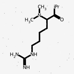 CC(C)C(=O)C(CCCCNC(=N)N)N(C)C